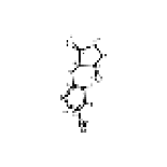 O=C1CSC(=O)C1Cc1ccc(Br)cc1